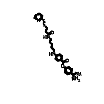 N=C(N)c1ccc(OC(=O)c2ccc(NCCCCCNC(=O)CCSSc3ccccn3)cc2)cc1